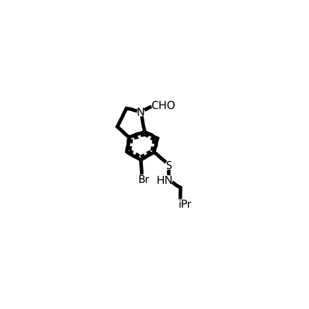 CC(C)CNSc1cc2c(cc1Br)CCN2C=O